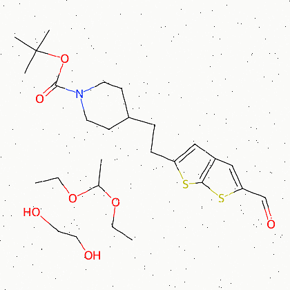 CC(C)(C)OC(=O)N1CCC(CCc2cc3cc(C=O)sc3s2)CC1.CCOC(C)OCC.OCCO